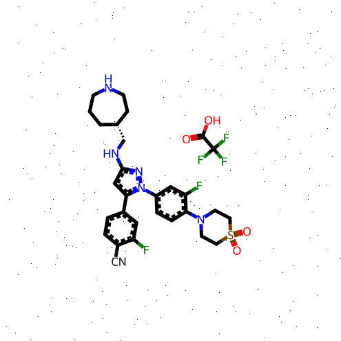 N#Cc1ccc(-c2cc(NC[C@@H]3CCCNCC3)nn2-c2ccc(N3CCS(=O)(=O)CC3)c(F)c2)cc1F.O=C(O)C(F)(F)F